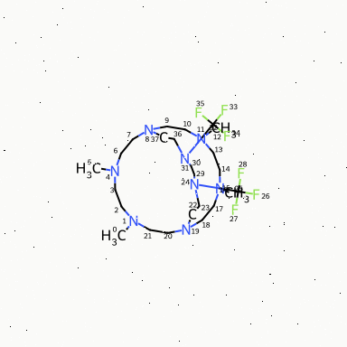 CN1CCN(C)CCN2CCN(C)CCN(C)CCN(CC1)CCN(C(F)(F)F)CCN(C(F)(F)F)CC2